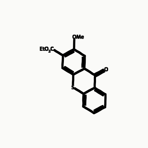 CCOC(=O)c1cc2sc3ccccc3c(=O)c2cc1OC